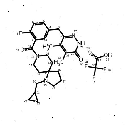 Cc1c(Cc2ccc(F)c(C(=O)N3CCC4(CCCN4CC4CC4)CC3)c2)n[nH]c(=O)c1C.O=C(O)C(F)(F)F